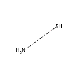 NCCCCCCCCCCCCCCCCCCCCCCCCCCCCCCCCCCCCCS